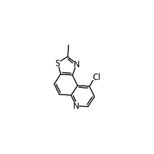 Cc1nc2c(ccc3nccc(Cl)c32)s1